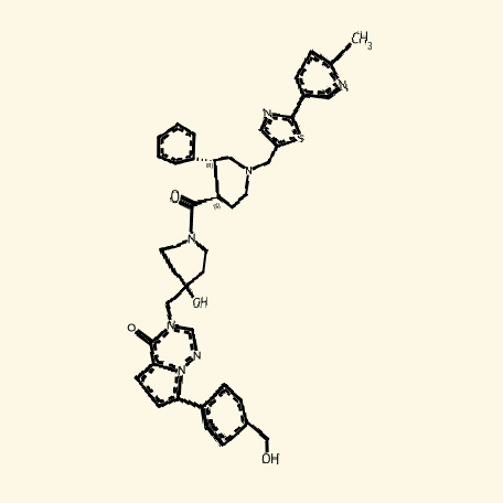 Cc1ccc(-c2ncc(CN3CC[C@@H](C(=O)N4CCC(O)(Cn5cnn6c(-c7ccc(CO)cc7)ccc6c5=O)CC4)[C@H](c4ccccc4)C3)s2)cn1